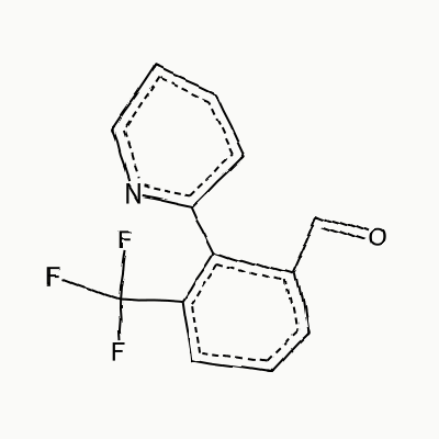 O=Cc1cccc(C(F)(F)F)c1-c1ccccn1